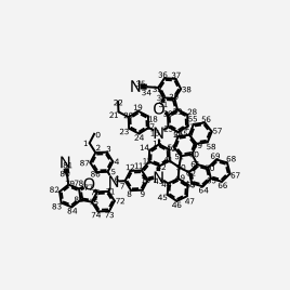 CCc1ccc(N(c2ccc3c(c2)c2cc(N(c4ccc(CC)cc4)c4cccc5c4oc4c(C#N)cccc45)cc4c2n3-c2ccccc2C42c3ccc4ccccc4c3-c3c2ccc2ccccc32)c2cccc3c2oc2c(C#N)cccc23)cc1